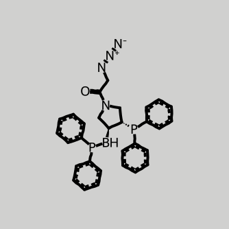 [N-]=[N+]=NCC(=O)N1C[C@H](BP(c2ccccc2)c2ccccc2)[C@@H](P(c2ccccc2)c2ccccc2)C1